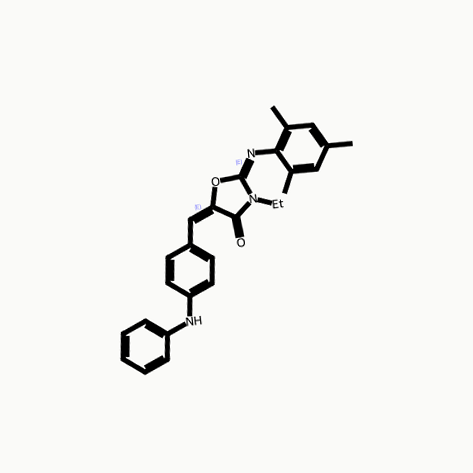 CCN1C(=O)/C(=C\c2ccc(Nc3ccccc3)cc2)O/C1=N/c1c(C)cc(C)cc1C